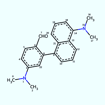 CN(C)c1ccc(C=O)c(-c2cccc3c(N(C)C)cccc23)c1